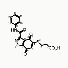 O=C(O)CCSC1=CC(=O)c2onc(C(=O)Nc3ccccc3)c2C1=O